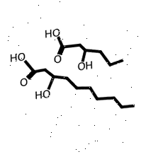 CCCC(O)CC(=O)O.CCCCCCCC(O)CC(=O)O